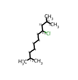 CC(C)CCCCCC(Cl)CC(C)C